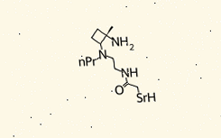 CCCN(CCNC(=O)[CH2][SrH])C1CC[C@]1(C)N